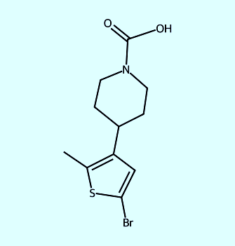 Cc1sc(Br)cc1C1CCN(C(=O)O)CC1